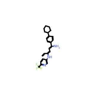 C=C/C(=C\C=C(/N)c1ccc(C2CCCCC2)cc1)Nc1ccc(C(F)(F)F)nc1